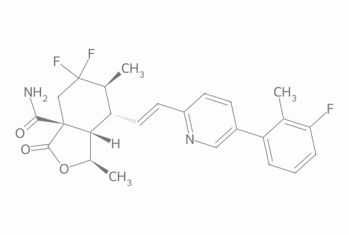 Cc1c(F)cccc1-c1ccc(/C=C/[C@@H]2[C@@H]3[C@@H](C)OC(=O)[C@]3(C(N)=O)CC(F)(F)[C@H]2C)nc1